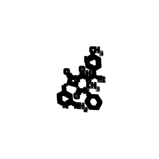 CC[C@@H](NC(=O)N1C(=O)[C@@H](Cc2ccnc(N)c2)[C@H]1C(=O)N(C)C1CCCCC1)c1ccc(C)nc1